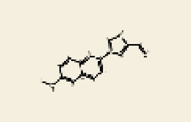 COc1ccc2nc(-c3coc(C=O)c3)ccc2c1